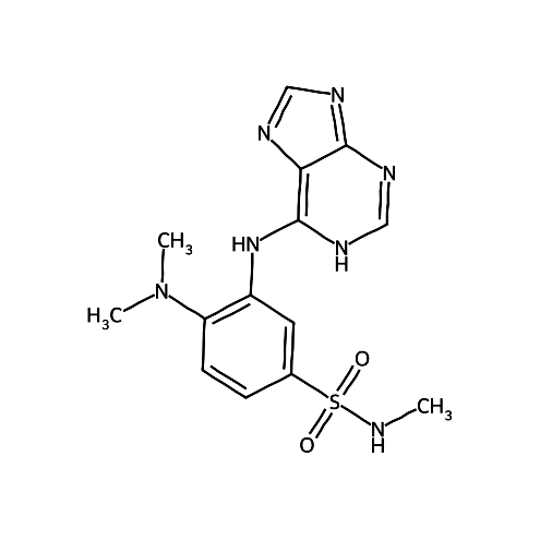 CNS(=O)(=O)c1ccc(N(C)C)c(Nc2[nH]cnc3ncnc2-3)c1